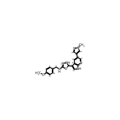 COc1ccc(CNC2=NNC(c3c[nH]c4ncc(-c5cnn(C)c5)cc34)O2)cc1